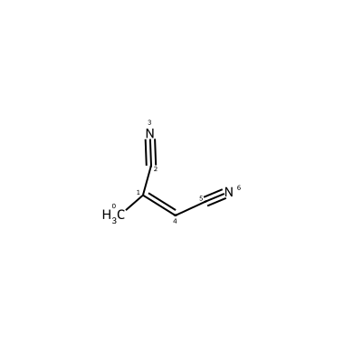 CC(C#N)=CC#N